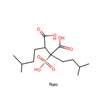 CC(C)CCC(C(=O)O)C(CCC(C)C)(C(=O)O)S(=O)(=O)O.[NaH]